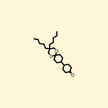 CCCCCC1(CCCCC)COC2(CCC(C3CCC(=O)CC3)CC2)OC1